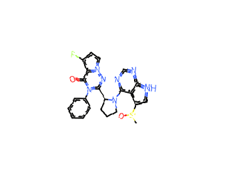 C[S@@+]([O-])c1c[nH]c2ncnc(N3CCC[C@H]3c3nn4ccc(F)c4c(=O)n3-c3ccccc3)c12